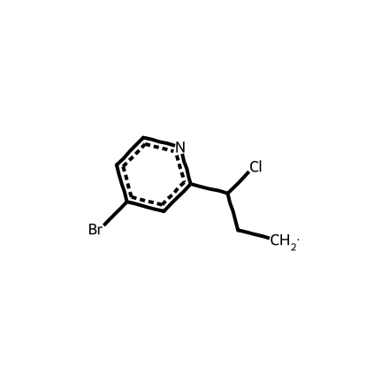 [CH2]CC(Cl)c1cc(Br)ccn1